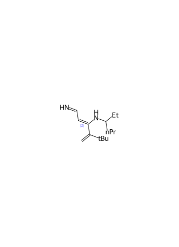 C=C(/C(=C/C=N)NC(CC)CCC)C(C)(C)C